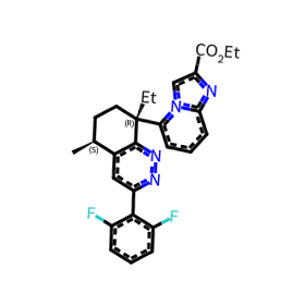 CCOC(=O)c1cn2c([C@@]3(CC)CC[C@H](C)c4cc(-c5c(F)cccc5F)nnc43)cccc2n1